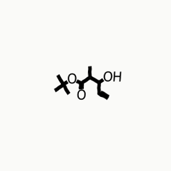 C=CC(O)C(C)C(=O)OC(C)(C)C